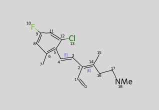 C=CC(/C=C/c1c(C)cc(F)cc1Cl)=C(/C)CCNC